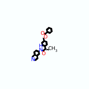 CC[C@@H](C(=O)Nc1ccc2cnccc2c1)c1ccc(COC(=O)c2ccccc2)cc1